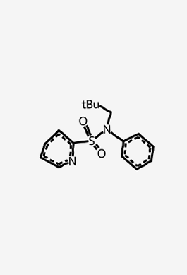 CC(C)(C)CN(c1ccccc1)S(=O)(=O)c1ccccn1